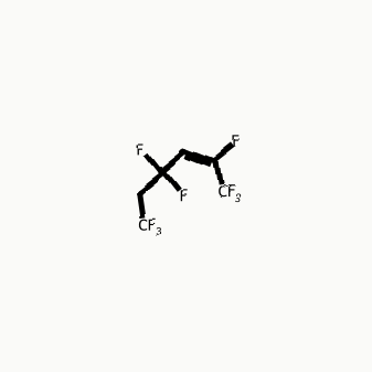 F/C(=C/C(F)(F)CC(F)(F)F)C(F)(F)F